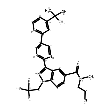 CN(CCO)C(=O)c1ccc2c(c1)c(-c1ncc(-c3cc(C(C)(C)O)ccn3)cn1)nn2CC(F)(F)F